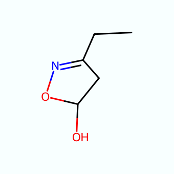 CCC1=NOC(O)C1